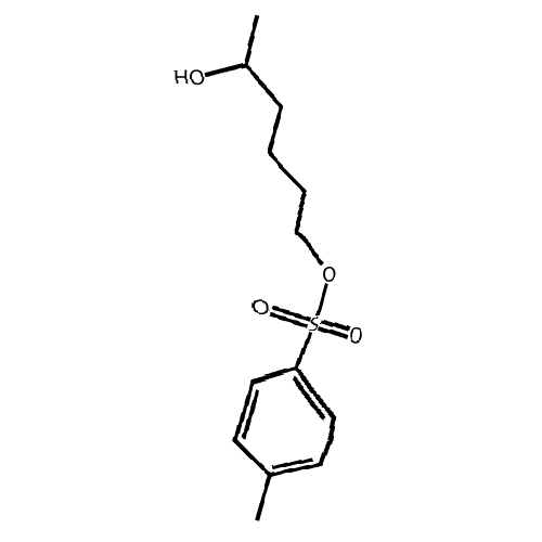 Cc1ccc(S(=O)(=O)OCCCCC(C)O)cc1